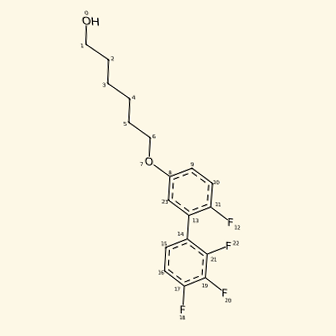 OCCCCCCOc1ccc(F)c(-c2ccc(F)c(F)c2F)c1